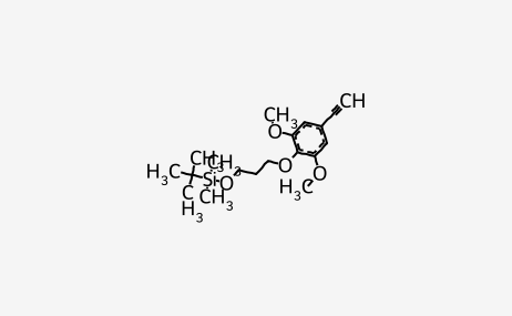 C#Cc1cc(OC)c(OCCCO[Si](C)(C)C(C)(C)C)c(OC)c1